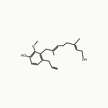 C=CCc1ccc(O)c(OC)c1CC(C)=CCCC(C)=CCO